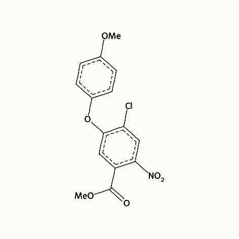 COC(=O)c1cc(Oc2ccc(OC)cc2)c(Cl)cc1[N+](=O)[O-]